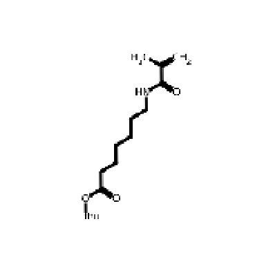 C=C(C)C(=O)NCCCCCCC(=O)OC(C)(C)C